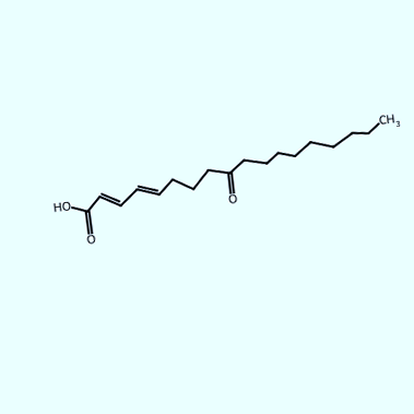 CCCCCCCCCC(=O)CCCC=CC=CC(=O)O